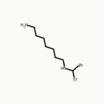 CCC(NCCCCCCCN)C(C)C